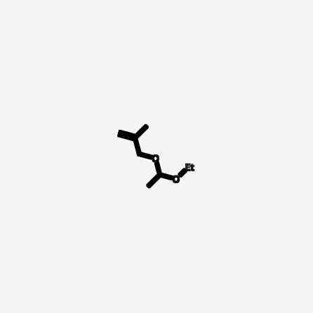 C=C(C)COC(C)OCC